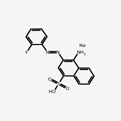 Nc1c(N=Nc2ccccc2F)cc(S(=O)(=O)O)c2ccccc12.[Na]